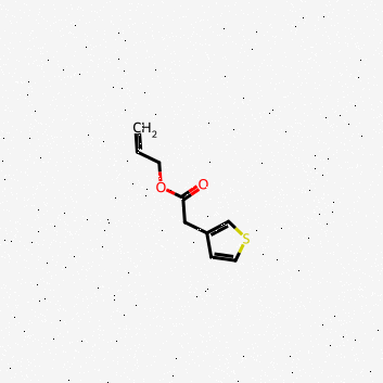 C=CCOC(=O)Cc1ccsc1